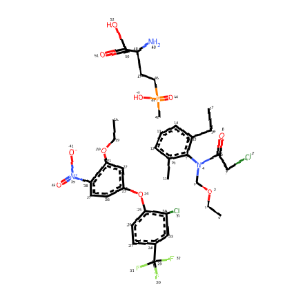 CCOCN(C(=O)CCl)c1c(C)cccc1CC.CCOc1cc(Oc2ccc(C(F)(F)F)cc2Cl)ccc1[N+](=O)[O-].CP(=O)(O)CCC(N)C(=O)O